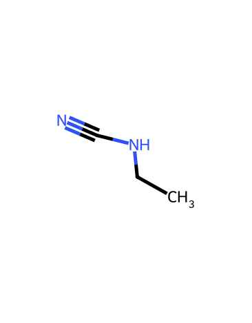 CCNC#N